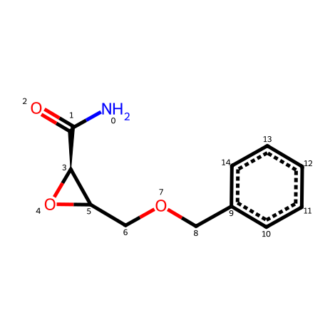 NC(=O)[C@@H]1OC1COCc1ccccc1